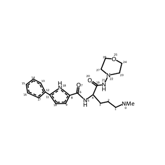 CNCCCC(NC(=O)c1ccc(-c2ccccc2)[nH]1)C(=O)NN1CCOCC1